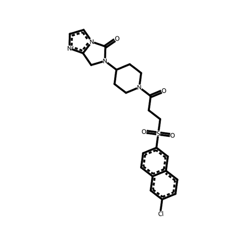 O=C(CCS(=O)(=O)c1ccc2cc(Cl)ccc2c1)N1CCC(N2Cc3nccn3C2=O)CC1